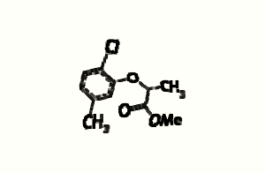 COC(=O)C(C)Oc1cc(C)ccc1Cl